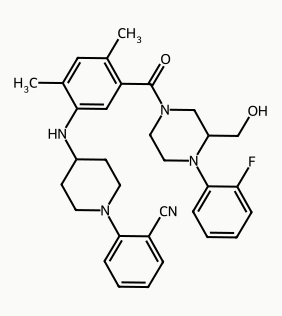 Cc1cc(C)c(C(=O)N2CCN(c3ccccc3F)C(CO)C2)cc1NC1CCN(c2ccccc2C#N)CC1